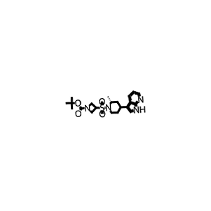 C[C@@H]1CC(c2c[nH]c3ncccc23)CCN1S(=O)(=O)C1CN(C(=O)OC(C)(C)C)C1